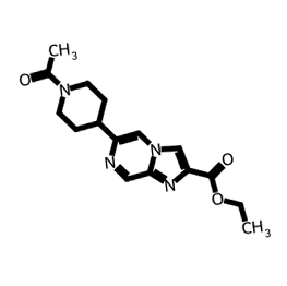 CCOC(=O)c1cn2cc(C3CCN(C(C)=O)CC3)ncc2n1